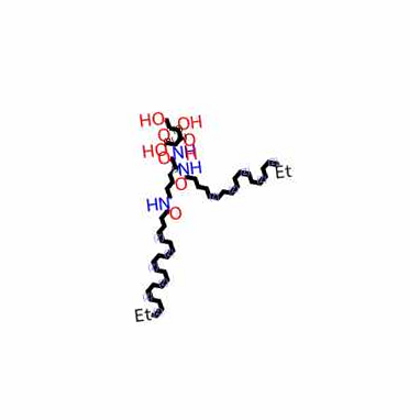 CC/C=C\C/C=C\C/C=C\C/C=C\C/C=C\C/C=C\CCC(=O)NCCCC[C@H](NC(=O)CCC/C=C\C/C=C\C/C=C\C/C=C\C/C=C\CC)C(=O)NC1[C@H](O)OC(CO)[C@@H](O)[C@H]1O